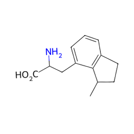 CC1CCc2cccc(CC(N)C(=O)O)c21